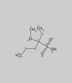 CCCC(CC)(OC)S(=O)(=O)O